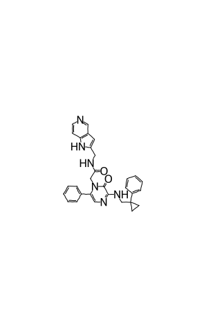 O=C(Cn1c(-c2ccccc2)cnc(NCC2(c3ccccc3)CC2)c1=O)NCc1cc2cnccc2[nH]1